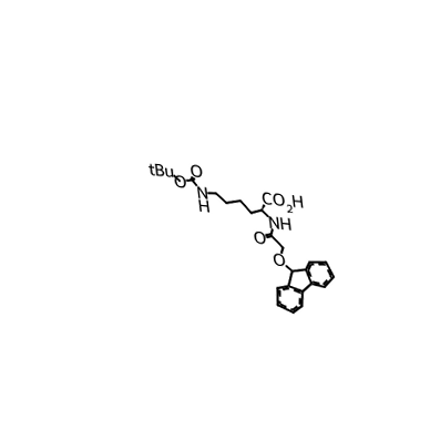 CC(C)(C)OC(=O)NCCCC[C@H](NC(=O)COC1c2ccccc2-c2ccccc21)C(=O)O